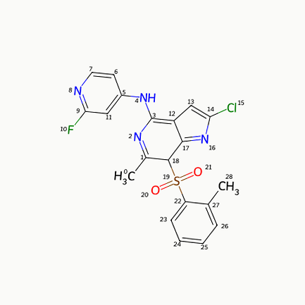 CC1=NC(Nc2ccnc(F)c2)=C2C=C(Cl)N=C2C1S(=O)(=O)c1ccccc1C